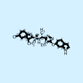 CCn1c(Oc2ccc3cc[nH]c3c2)nnc1[C@@H](C)NS(=O)(=O)c1sc2ccc(Cl)cc2c1C